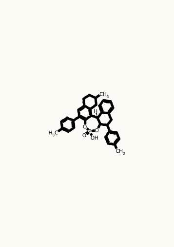 Cc1ccc(-c2cc3c(c4c2OP(=O)(O)OC2C(c5ccc(C)cc5)Cc5ccccc5[C@H]42)CC(C)CC3)cc1